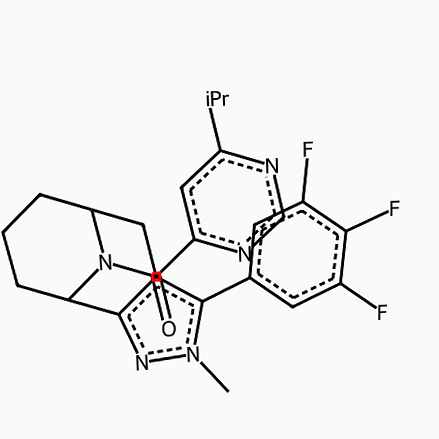 CC(C)c1cc(C(=O)N2C3CCCC2c2nn(C)c(-c4cc(F)c(F)c(F)c4)c2C3)ncn1